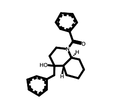 O=C(c1ccccc1)N1CCC(O)(Cc2ccccc2)[C@H]2CCCC[C@@H]21